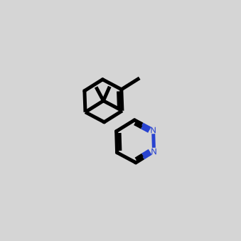 CC1=C2CC(CC1)C2(C)C.c1ccnnc1